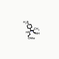 BN1CCC(/C(NCCOC)=C(\C)C=N)CC1